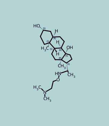 CC(NOCCN(C)C)[C@H]1CC[C@]2(O)[C@@H]3CC[C@@H]4C[C@@H](O)CC[C@]4(C)[C@H]3CC[C@]12C